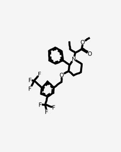 CCC(C(=O)OC)N1CCCC(OCc2cc(C(F)(F)F)cc(C(F)(F)F)c2)C1c1ccccc1